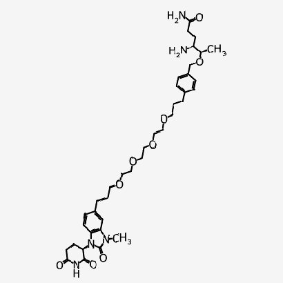 C[C@@H](OCc1ccc(CCCOCCOCCOCCOCCCc2ccc3c(c2)n(C)c(=O)n3C2CCC(=O)NC2=O)cc1)[C@@H](N)CCC(N)=O